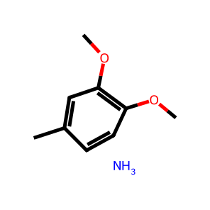 COc1ccc(C)cc1OC.N